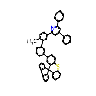 Cc1ccc(-c2cc(-c3ccccc3)cc(-c3ccccc3)n2)cc1-c1cccc(-c2ccc3c(c2)C2(c4ccccc4S3)c3ccccc3-c3ccccc32)c1